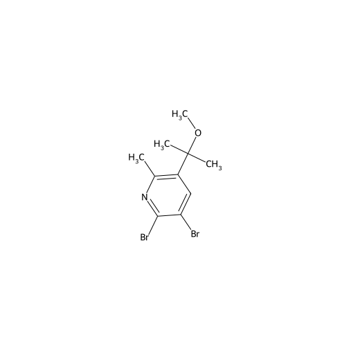 COC(C)(C)c1cc(Br)c(Br)nc1C